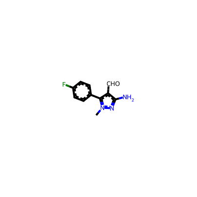 Cn1nc(N)c(C=O)c1-c1ccc(F)cc1